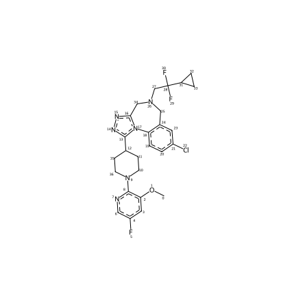 COc1cc(F)cnc1N1CCC(c2nnc3n2-c2ccc(Cl)cc2CN(CC(F)(F)C2CC2)C3)CC1